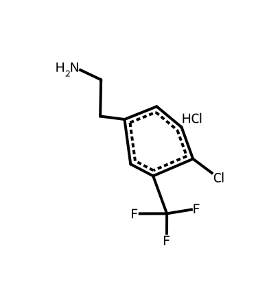 Cl.NCCc1ccc(Cl)c(C(F)(F)F)c1